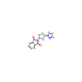 O=C1c2ccccc2C(=O)N1C1CCC(n2cccn2)C1